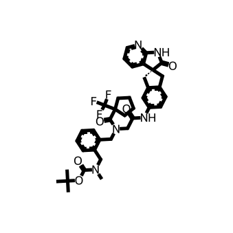 CN(Cc1ccccc1CN(CC(=O)Nc1ccc2c(c1)C[C@@]1(C2)C(=O)Nc2ncccc21)C(=O)C1(C(F)(F)F)CCCC1)C(=O)OC(C)(C)C